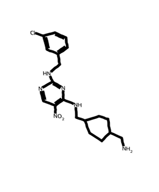 NCC1CCC(CNc2nc(NCc3cccc(Cl)c3)ncc2[N+](=O)[O-])CC1